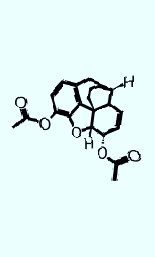 CC(=O)Oc1ccc2c3c1O[C@H]1[C@@H](OC(C)=O)C=CC4[C@H](CCC[C@@]341)C2